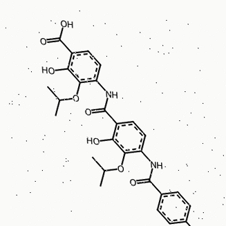 Cc1ccc(C(=O)Nc2ccc(C(=O)Nc3ccc(C(=O)O)c(O)c3OC(C)C)c(O)c2OC(C)C)cc1